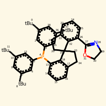 CC(C)(C)c1cc(P(c2cc(C(C)(C)C)cc(C(C)(C)C)c2)c2cccc3c2C2(CCc4cccc(C5=NCCO5)c42)CC3)cc(C(C)(C)C)c1